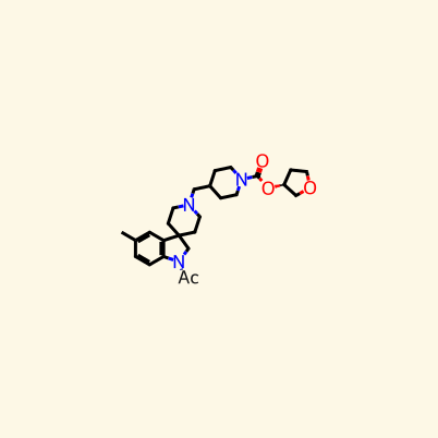 CC(=O)N1CC2(CCN(CC3CCN(C(=O)O[C@H]4CCOC4)CC3)CC2)c2cc(C)ccc21